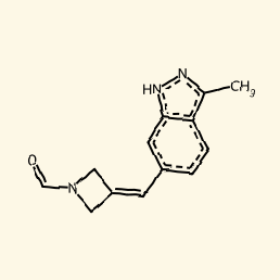 Cc1n[nH]c2cc(C=C3CN(C=O)C3)ccc12